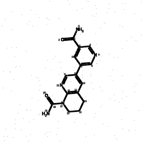 NC(=O)c1cncc(-c2cnc3c(c2)CCCN3C(N)=O)c1